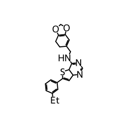 CCc1cccc(C2=CC3N=CN=C(NCC4=CC5=C(CC4)OCO5)C3S2)c1